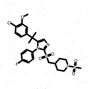 COc1cc(C(C)(C)c2cnc(S(=O)(=O)CC3CCN(S(C)(=O)=O)CC3)n2-c2ccc(F)cc2)ccc1Cl